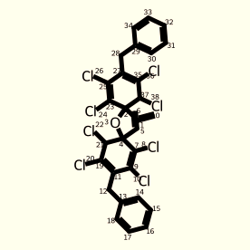 C=CC1(OC2(C=C)C(Cl)=C(Cl)C(Cc3ccccc3)=C(Cl)C2Cl)C(Cl)=C(Cl)C(Cc2ccccc2)=C(Cl)C1Cl